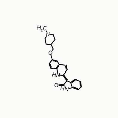 CN1CCC(COc2ccc3c(c2)C=CC(=C2C(=O)Nc4ccccc42)N3)CC1